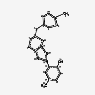 Cc1ccc(Sc2ccc3nn(-c4cc(C)ccc4O)nc3c2)cc1